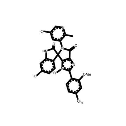 COc1cc(C(F)(F)F)ccc1-c1nc2c(n1C(C)C)C1(C(=O)Nc3cc(Cl)ccc31)N(c1cc(Cl)cnc1C)C2=O